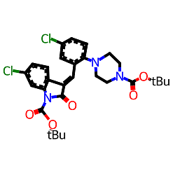 CC(C)(C)OC(=O)N1CCN(c2ccc(Cl)cc2/C=C2/C(=O)N(C(=O)OC(C)(C)C)c3cc(Cl)ccc32)CC1